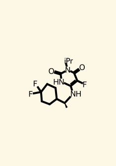 CC(C)n1c(=O)[nH]c(N[C@@H](C)C2CCC(F)(F)CC2)c(F)c1=O